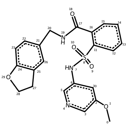 COc1cncc(NS(=O)(=O)c2ccccc2C(=O)NCc2ccc3c(c2)CCO3)c1